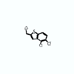 [O]Cc1cc2c(Cl)c(Cl)ccc2s1